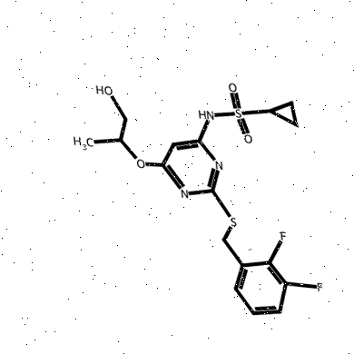 CC(CO)Oc1cc(NS(=O)(=O)C2CC2)nc(SCc2cccc(F)c2F)n1